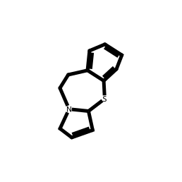 C1=CC2Sc3ccccc3CCN2C1